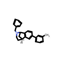 Cc1cccc(-c2ccc3c(c2)[C@H]2CCN(Cc4ccccc4)C3C2)c1